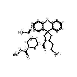 COCCCCC1(CNC(=O)[C@H]2C[C@@H](C(N)=O)CN(C(=O)OC(C)(C)C)C2)c2ccccc2Oc2ccccc21